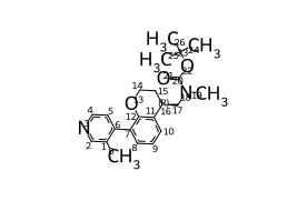 Cc1cnccc1-c1cccc2c1OCC[C@H]2CN(C)C(=O)OC(C)(C)C